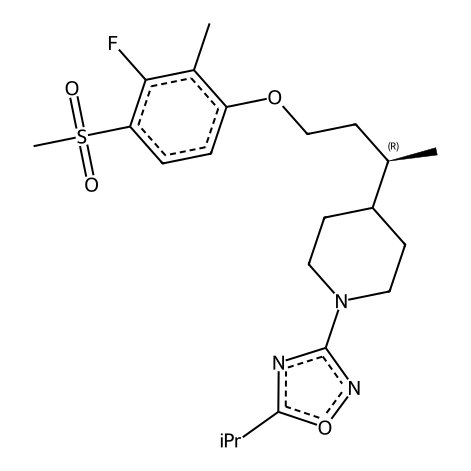 Cc1c(OCC[C@@H](C)C2CCN(c3noc(C(C)C)n3)CC2)ccc(S(C)(=O)=O)c1F